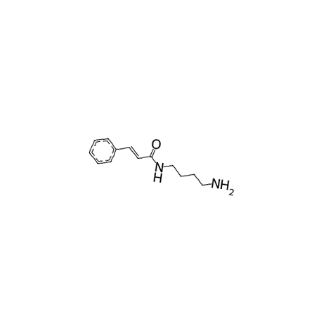 NCCCCNC(=O)/C=C/c1ccccc1